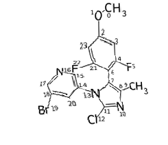 COc1cc(F)c(-c2c(C)nc(Cl)n2-c2cncc(Br)c2)c(F)c1